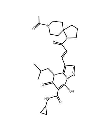 CC(=O)N1CCC2(CCCN2C(=O)C=Cc2cnn3c(O)c(C(=O)NC4CC4)c(=O)n(CC(C)C)c23)CC1